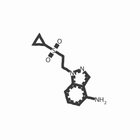 Nc1cccc2c1cnn2CCS(=O)(=O)C1CC1